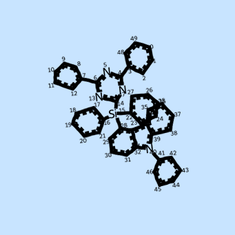 c1ccc(-c2nc(-c3ccccc3)nc([Si](c3ccccc3)(c3ccccc3)c3cccc4c3c3ccccc3n4-c3ccccc3)n2)cc1